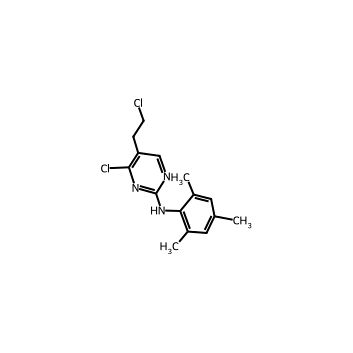 Cc1cc(C)c(Nc2ncc(CCCl)c(Cl)n2)c(C)c1